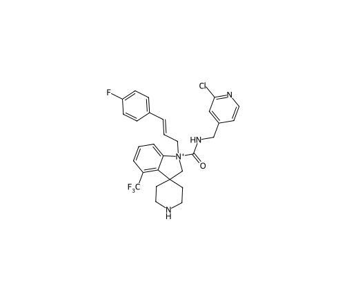 O=C(NCc1ccnc(Cl)c1)[N+]1(C/C=C/c2ccc(F)cc2)CC2(CCNCC2)c2c(C(F)(F)F)cccc21